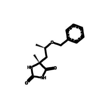 C[C@@H](C[C@]1(C)NC(=O)NC1=O)OCc1ccccc1